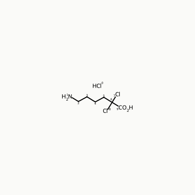 Cl.NCCCCC(Cl)(Cl)C(=O)O